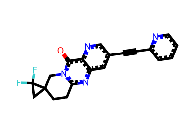 O=c1c2ncc(C#Cc3ccccn3)cc2nc2n1CC1(CC2)CC1(F)F